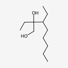 CCCCCC(CC)C(O)(CC)CO